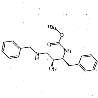 CC(C)(C)OC(=O)N[C@@H](Cc1ccccc1)[C@@H](O)CNCc1ccccc1